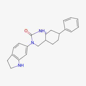 NC(=O)N(CC1CCC(c2ccccc2)CC1)c1ccc2c(c1)NCC2